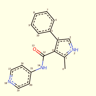 Cc1[nH][c]c(-c2ccccc2)c1C(=O)Nc1ccncc1